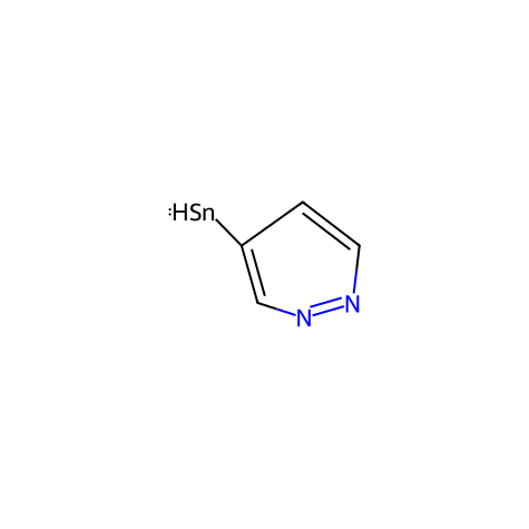 [SnH][c]1ccnnc1